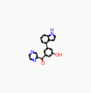 O=C(c1cc(O)cc(-c2cccc3[nH]ccc23)c1)c1cnccn1